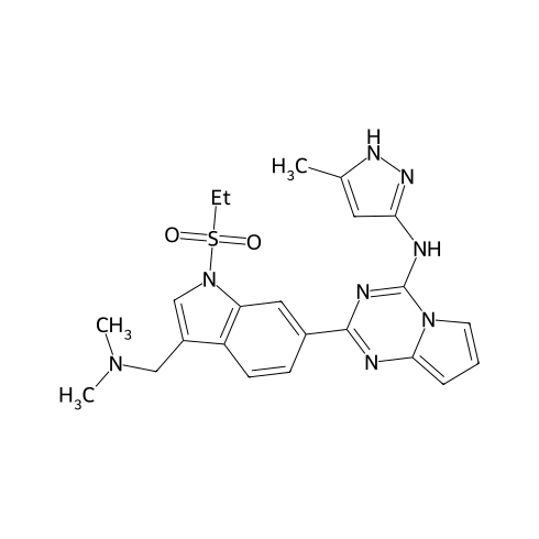 CCS(=O)(=O)n1cc(CN(C)C)c2ccc(-c3nc(Nc4cc(C)[nH]n4)n4cccc4n3)cc21